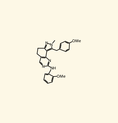 COc1ccc(Cc2c3c(nn2C)CCc2cnc(Nc4ccccc4OC)nc2-3)cc1